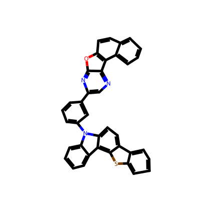 c1cc(-c2cnc3c(n2)oc2ccc4ccccc4c23)cc(-n2c3ccccc3c3c4sc5ccccc5c4ccc32)c1